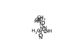 CN(c1ccncc1)c1nc(-c2cccc(NS(C)(=O)=O)n2)nc2[nH]ccc12